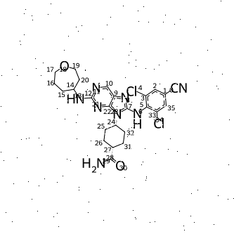 N#Cc1cc(Cl)c(Nc2nc3cnc(NC4CCCOCC4)nc3n2[C@H]2CC[C@@H](C(N)=O)CC2)c(Cl)c1